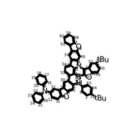 CC(C)(C)c1ccc(Nc2cc3oc4ccc(N(c5ccccc5)c5ccccc5)cc4c3cc2-c2ccc3c4cc5c(cc4n4c3c2Bc2oc3ccc(C(C)(C)C)cc3c2-4)oc2ccccc25)cc1